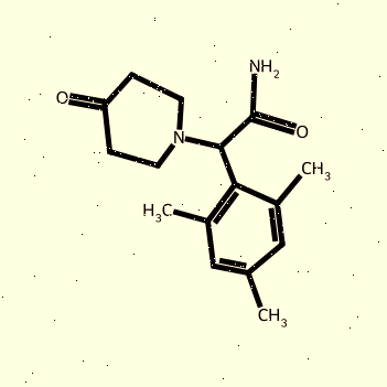 Cc1cc(C)c(C(C(N)=O)N2CCC(=O)CC2)c(C)c1